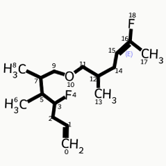 C=CCC(F)C(C)C(C)COCC(C)C/C=C(\C)F